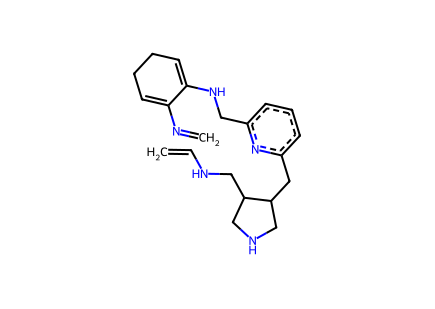 C=CNCC1CNCC1Cc1cccc(CNC2=CCCC=C2N=C)n1